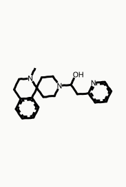 CN1CCc2ccccc2C12CCN(C(O)Cc1ccccn1)CC2